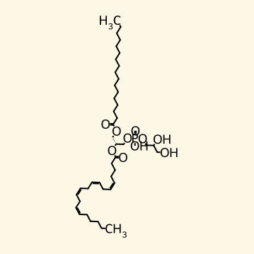 CCCCC/C=C\C/C=C\C/C=C\C/C=C\CCCC(=O)O[C@H](COC(=O)CCCCCCCCCCCCCCCC)COP(=O)(O)OCC(O)CO